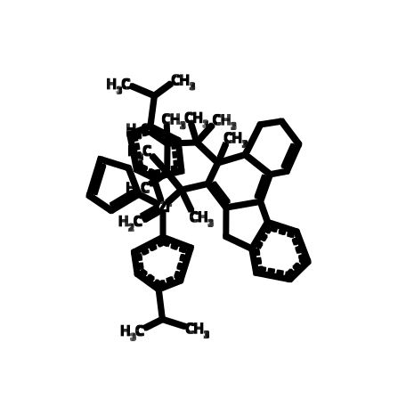 [CH2]=[Zr]([C]1=CC=CC1)([c]1ccc(C(C)C)cc1)([c]1ccc(C(C)C)cc1)[C]1(C)C2=C3Cc4ccccc4C3=C3C=CCCC3C2(C)C(C)(C)C(C)(C)C1(C)C